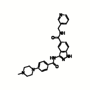 CN1CCN(c2ccc(C(=O)Nc3n[nH]c4ccc(C(=O)NCc5cccnc5)cc34)cc2)CC1